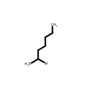 CCCCCC([SiH3])Br